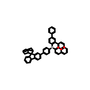 c1ccc(-c2ccc(N(c3ccc(-c4ccc5c(c4)C4(c6ccccc6-5)C5CC6CC(C5)C4C6)cc3)c3ccc4ccccc4c3)c(-c3ccccc3)c2)cc1